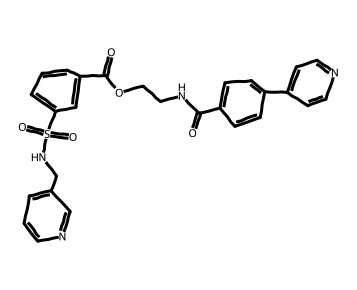 O=C(NCCOC(=O)c1cccc(S(=O)(=O)NCc2cccnc2)c1)c1ccc(-c2ccncc2)cc1